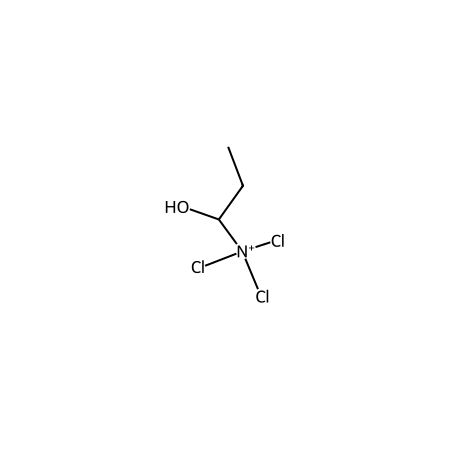 CCC(O)[N+](Cl)(Cl)Cl